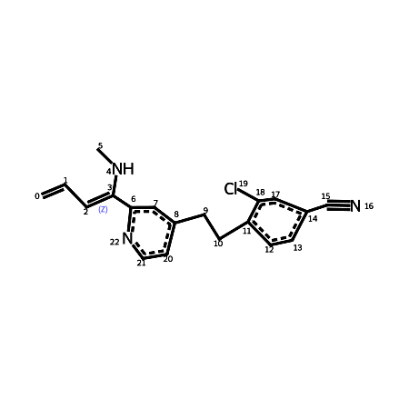 C=C/C=C(\NC)c1cc(CCc2ccc(C#N)cc2Cl)ccn1